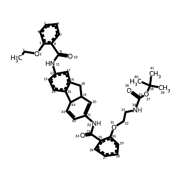 CCOc1ccccc1C(=O)Nc1ccc2c(c1)CC1C=C(NC(=O)c3ccccc3OCCNC(=O)OC(C)(C)C)C=CC21